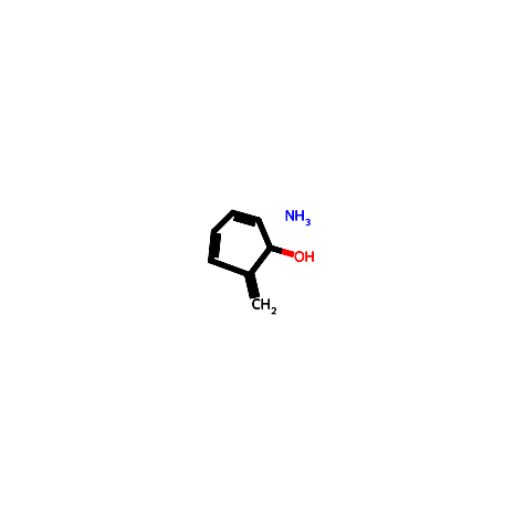 C=C1C=CC=CC1O.N